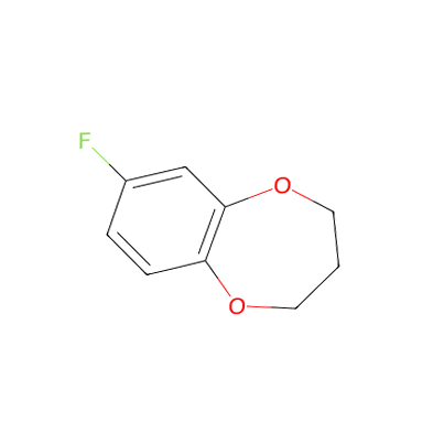 Fc1ccc2c(c1)OCCCO2